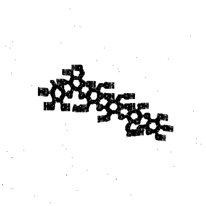 CC(=O)N[C@H]1C(O[C@@H]2OC(CO)[C@H](O)C(O)[C@@H]2O[C@@H]2OC(C)[C@@H](O)C(O)[C@@H]2O)[C@@H](O)C(CO)O[C@H]1O[C@@H]1C(O)[C@@H](O[C@H]2C(CO)O[C@@H](O[C@@H]3C(CO)O[C@@H](O)C(O)C3O)[C@@H](O)C2O)OC(CO)[C@@H]1O